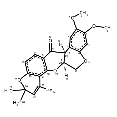 COc1cc2c(cc1OC)[C@@H]1C(=O)c3ccc4c(c3O[C@@H]1CO2)C([18F])=CC(C)(C)O4